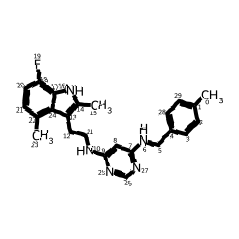 Cc1ccc(CNc2cc(NCCc3c(C)[nH]c4c(F)ccc(C)c34)ncn2)cc1